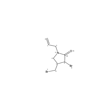 C=CCN1CC(CBr)C(Br)C1=O